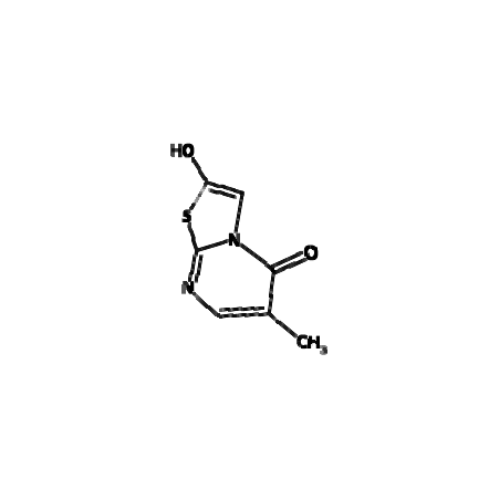 Cc1cnc2sc(O)cn2c1=O